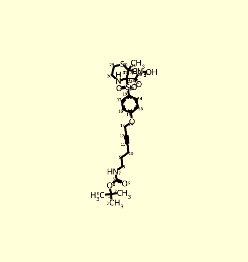 CC(C)(C)OC(=O)NCCCC#CCOc1ccc(S(=O)(=O)[C@]2(C(=O)NO)NCCSC2(C)C)cc1